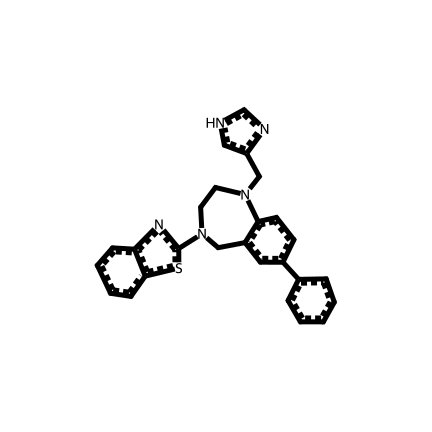 c1ccc(-c2ccc3c(c2)CN(c2nc4ccccc4s2)CCN3Cc2c[nH]cn2)cc1